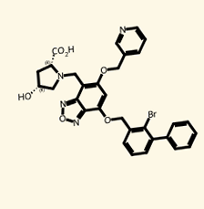 O=C(O)[C@H]1C[C@@H](O)CN1Cc1c(OCc2cccnc2)cc(OCc2cccc(-c3ccccc3)c2Br)c2nonc12